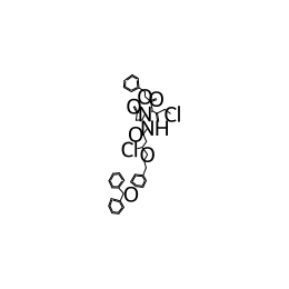 C=C(CCl)C(C(=O)OCc1ccccc1)N1C(=O)CC1NC(=O)CC(Cl)OCCc1ccc(OC(c2ccccc2)c2ccccc2)cc1